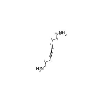 NCCCC#CC#CCCCN